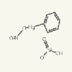 O=N[O][Hg][c]1ccccc1.O=[N+]([O-])O